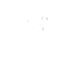 Cc1cccc(C(CN)CC(=O)OC(C)(C)C)c1